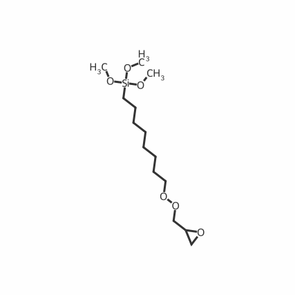 CO[Si](CCCCCCCCOOCC1CO1)(OC)OC